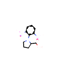 O=C(O)C1CCCN1c1c([N+](=O)[O-])cccc1[N+](=O)[O-]